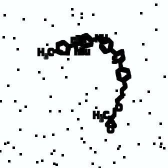 CCCCC(CCCC)(c1ccc(C)cc1)c1ccc(Nc2ccc(-c3ccc(-c4ccc(CCCCOCCC5(C)COC5)cc4)s3)cc2)cc1